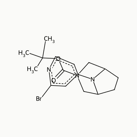 CC(C)(C)OC(=O)N1CC2CCC(C1)N2c1ccnc(Br)c1